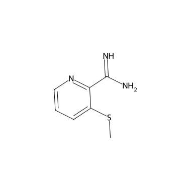 CSc1cccnc1C(=N)N